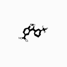 O=C(O)c1ccc2noc(-c3cccc(C(F)(F)F)c3)c2c1